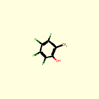 Oc1c(F)c(F)c(F)c(F)c1C(F)(F)F